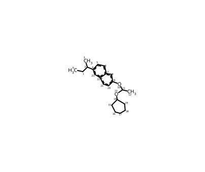 CCC(C)c1ccc2cc(OC(C)OC3CCCCC3)ccc2c1